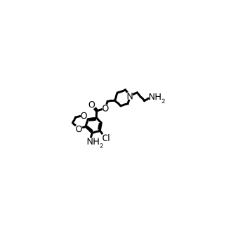 NCCN1CCC(COC(=O)c2cc(Cl)c(N)c3c2OCCO3)CC1